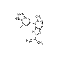 Cc1ncn2cc(C(C)C)nc2c1-c1cc(Cl)c2[nH]ncc2c1